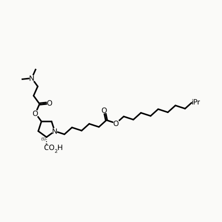 CC(C)CCCCCCCCOC(=O)CCCCCN1CC(OC(=O)CCN(C)C)C[C@H]1C(=O)O